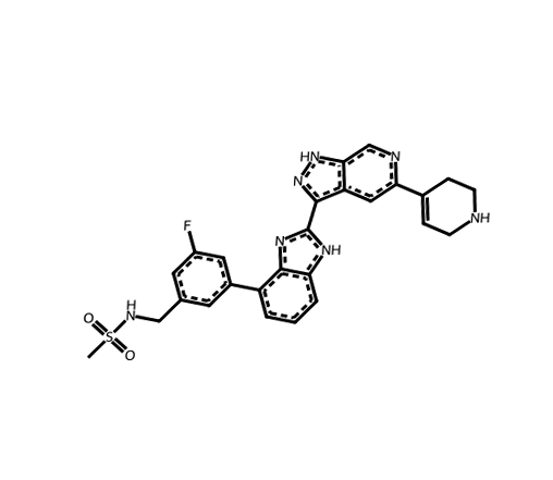 CS(=O)(=O)NCc1cc(F)cc(-c2cccc3[nH]c(-c4n[nH]c5cnc(C6=CCNCC6)cc45)nc23)c1